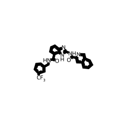 O=C(Nc1nc2cccc(C(=O)NCc3cccc(C(F)(F)F)c3)c2[nH]1)c1cc2ccccc2cn1